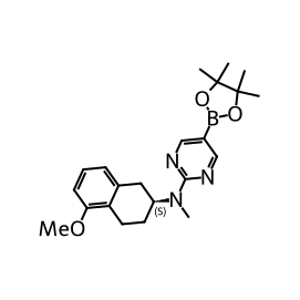 COc1cccc2c1CC[C@H](N(C)c1ncc(B3OC(C)(C)C(C)(C)O3)cn1)C2